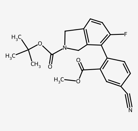 COC(=O)c1cc(C#N)ccc1-c1c(F)ccc2c1CN(C(=O)OC(C)(C)C)C2